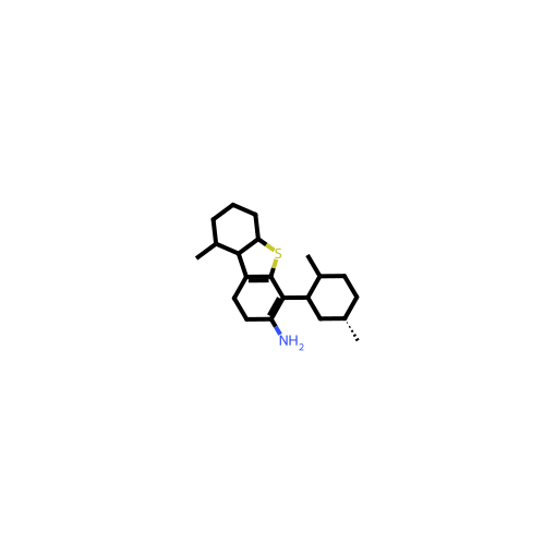 CC1CC[C@H](C)CC1C1=C(N)CCC2=C1SC1CCCC(C)C21